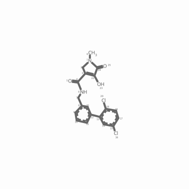 CN1CC(C(=O)NCc2cccc(-c3cc(Cl)ccc3Cl)c2)=C(O)C1=O